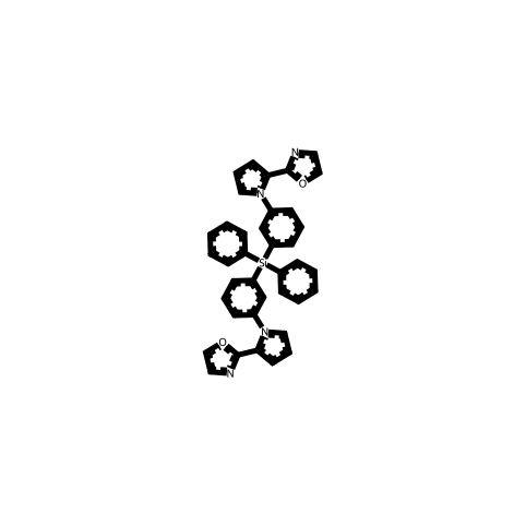 c1ccc([Si](c2ccccc2)(c2cccc(-n3cccc3-c3ncco3)c2)c2cccc(-n3cccc3-c3ncco3)c2)cc1